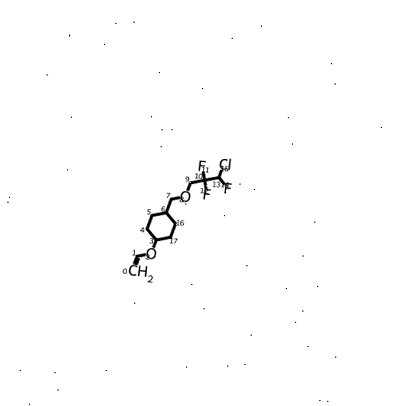 C=COC1CCC(COCC(F)(F)C(F)Cl)CC1